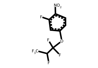 O=[N+]([O-])c1ccc(OC(F)(F)C(F)C(F)(F)F)cc1F